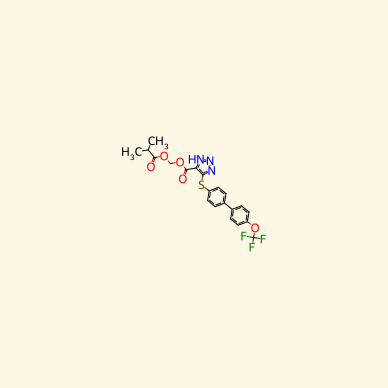 CC(C)C(=O)OCOC(=O)c1[nH]nnc1Sc1ccc(-c2ccc(OC(F)(F)F)cc2)cc1